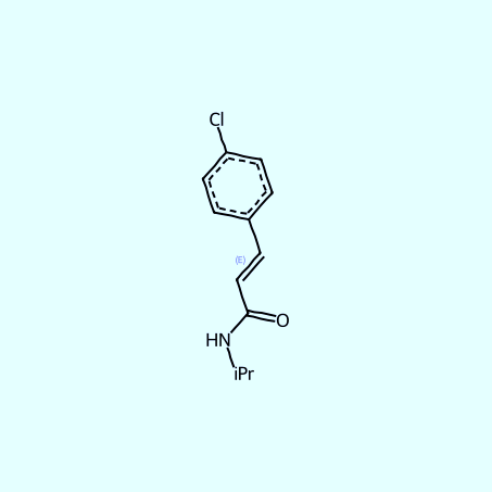 CC(C)NC(=O)/C=C/c1ccc(Cl)cc1